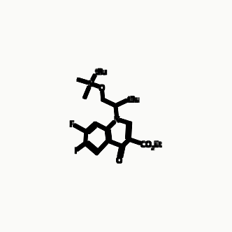 CCOC(=O)c1cn(C(CO[Si](C)(C)C(C)(C)C)C(C)(C)C)c2cc(F)c(I)cc2c1=O